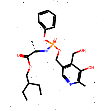 CCC(CC)COC(=O)[C@H](C)NP(=O)(OCc1cnc(C)c(O)c1CO)Oc1ccccc1